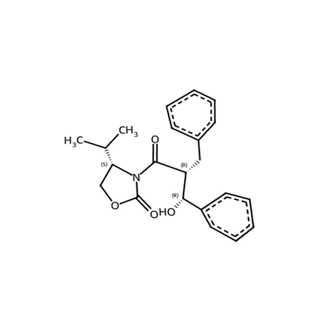 CC(C)[C@H]1COC(=O)N1C(=O)[C@H](Cc1ccccc1)[C@@H](O)c1ccccc1